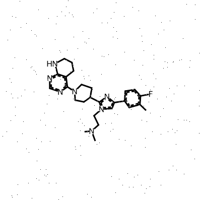 Cc1cc(-c2cn(CCN(C)C)c(C3CCN(c4ncnc5c4CCCN5)CC3)n2)ccc1F